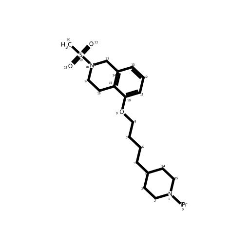 CC(C)N1CCC(CCCCOc2cccc3c2CCN(S(C)(=O)=O)C3)CC1